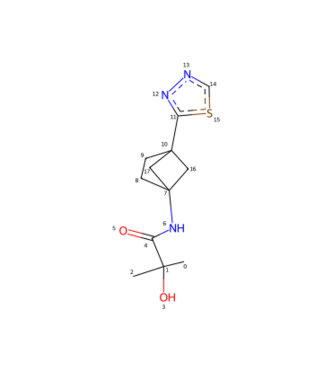 CC(C)(O)C(=O)NC12CCC(c3nncs3)(C1)C2